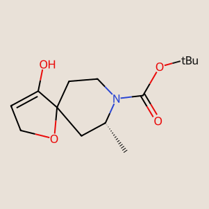 C[C@@H]1CC2(CCN1C(=O)OC(C)(C)C)OCC=C2O